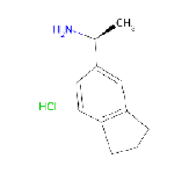 C[C@H](N)c1ccc2c(c1)CCC2.Cl